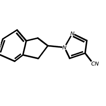 N#Cc1cnn(C2Cc3ccccc3C2)c1